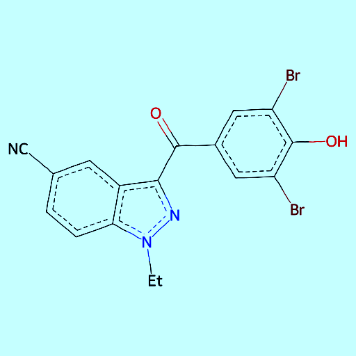 CCn1nc(C(=O)c2cc(Br)c(O)c(Br)c2)c2cc(C#N)ccc21